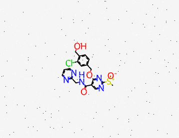 C[S+]([O-])c1ncc(C(=O)NCc2ncccn2)c(OCc2ccc(CO)c(Cl)c2)n1